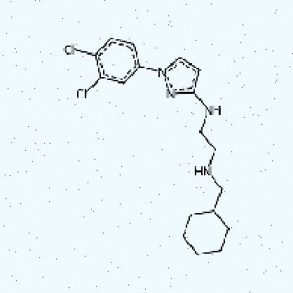 Clc1ccc(-n2ccc(NCCNCC3CCCCC3)n2)cc1Cl